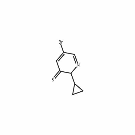 S=C1C=C(Br)C=NC1C1CC1